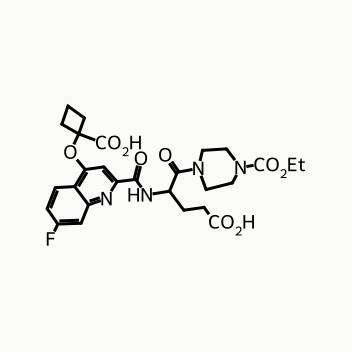 CCOC(=O)N1CCN(C(=O)C(CCC(=O)O)NC(=O)c2cc(OC3(C(=O)O)CCC3)c3ccc(F)cc3n2)CC1